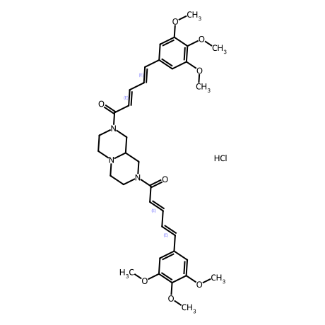 COc1cc(/C=C/C=C/C(=O)N2CCN3CCN(C(=O)/C=C/C=C/c4cc(OC)c(OC)c(OC)c4)CC3C2)cc(OC)c1OC.Cl